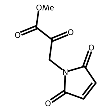 COC(=O)C(=O)CN1C(=O)C=CC1=O